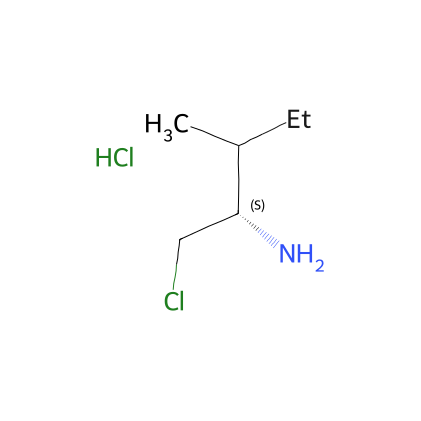 CCC(C)[C@H](N)CCl.Cl